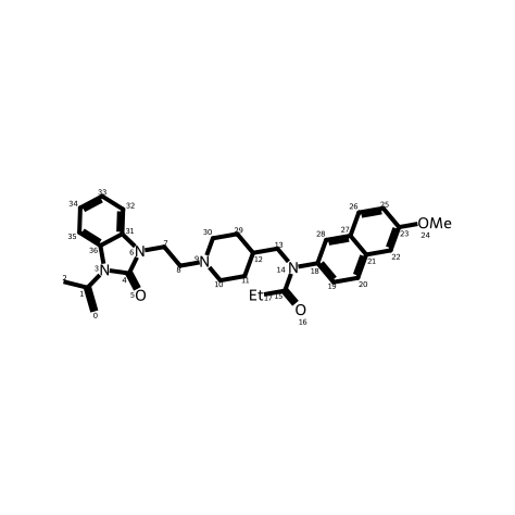 C=C(C)n1c(=O)n(CCN2CCC(CN(C(=O)CC)c3ccc4cc(OC)ccc4c3)CC2)c2ccccc21